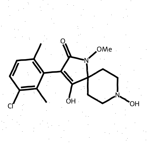 CON1C(=O)C(c2c(C)ccc(Cl)c2C)=C(O)C12CCN(O)CC2